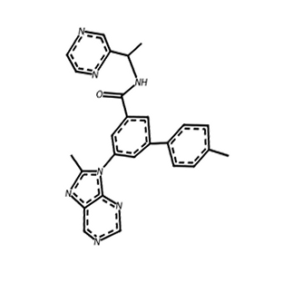 Cc1ccc(-c2cc(C(=O)NC(C)c3cnccn3)cc(-n3c(C)nc4cncnc43)c2)cc1